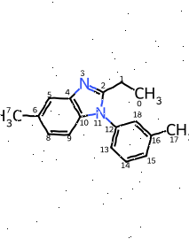 CCc1nc2cc(C)ccc2n1-c1cccc(C)c1